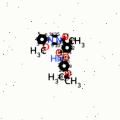 COc1ccccc1N1CCN(C(=O)c2cc(S(=O)(=O)Nc3ccc(OC(C)C)cc3)ccc2C)CC1